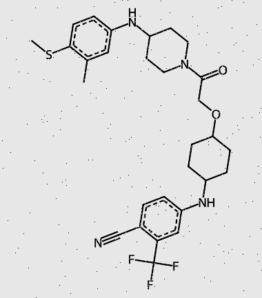 CSc1ccc(NC2CCN(C(=O)COC3CCC(Nc4ccc(C#N)c(C(F)(F)F)c4)CC3)CC2)cc1C